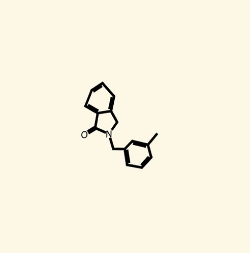 Cc1cccc(CN2Cc3ccccc3C2=O)c1